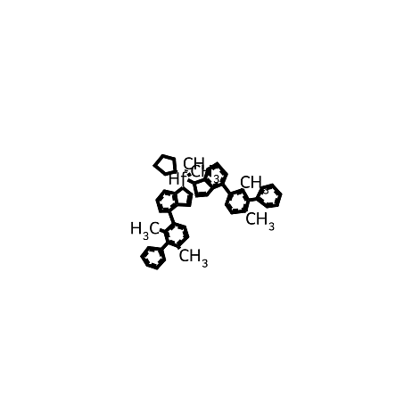 Cc1ccc(-c2cccc3c2C=C[CH]3[Hf]([CH3])([CH3])(=[C]2CCCC2)[CH]2C=Cc3c(-c4ccc(C)c(-c5ccccc5)c4C)cccc32)c(C)c1-c1ccccc1